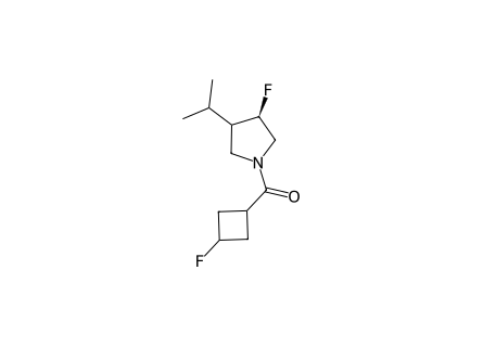 CC(C)C1CN(C(=O)C2CC(F)C2)C[C@@H]1F